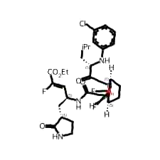 CCOC(=O)/C(F)=C/[C@H](C[C@@H]1CCNC1=O)NC(=O)[C@H]1[C@@H]2CC[C@@H](CC2(F)F)N1C(=O)[C@H](CC(C)C)Nc1cccc(Cl)c1